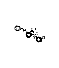 Cl.O=S(=O)(c1cccc(Cl)c1)n1ccc2c(OCCN3CCOCC3)cccc21